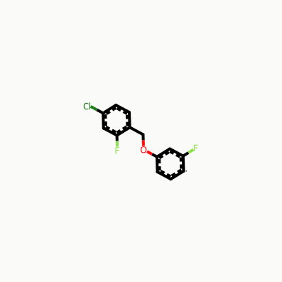 Fc1[c]ccc(OCc2ccc(Cl)cc2F)c1